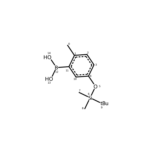 Cc1ccc(O[Si](C)(C)C(C)(C)C)cc1B(O)O